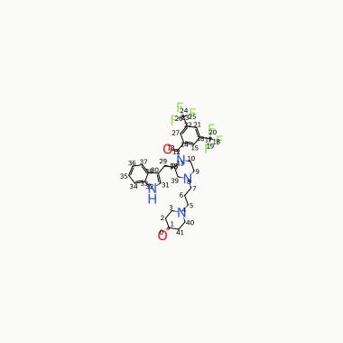 O=C1CCN(CCCN2CCN(C(=O)c3cc(C(F)(F)F)cc(C(F)(F)F)c3)[C@H](Cc3c[nH]c4ccccc34)C2)CC1